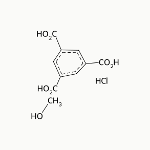 CO.Cl.O=C(O)c1cc(C(=O)O)cc(C(=O)O)c1